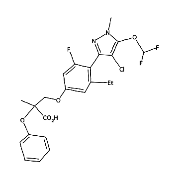 CCc1cc(OCC(C)(Oc2ccccc2)C(=O)O)cc(F)c1-c1nn(C)c(OC(F)F)c1Cl